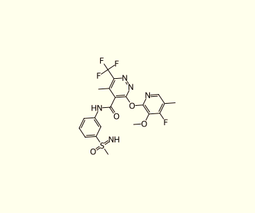 COc1c(Oc2nnc(C(F)(F)F)c(C)c2C(=O)Nc2cccc(S(C)(=N)=O)c2)ncc(C)c1F